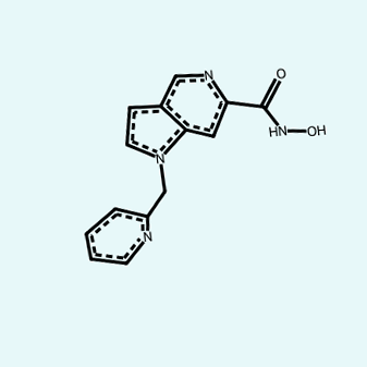 O=C(NO)c1cc2c(ccn2Cc2ccccn2)cn1